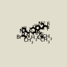 Cc1nc(N2CCC3(CC2)Cc2ncc(C(F)F)cc2[C@H]3NSC(C)(C)C)c2ccnn2c1Br